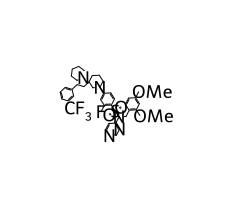 COc1ccc(CN(c2ccncn2)S(=O)(=O)c2ccc(N3CCCC(CCc4cccc(C(F)(F)F)c4)(N4CCCCC4)C3)cc2F)c(OC)c1